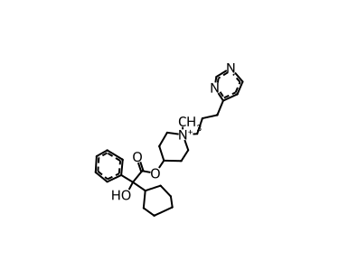 C[N+]1(CCCc2ccncn2)CCC(OC(=O)C(O)(c2ccccc2)C2CCCCC2)CC1